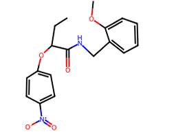 CCC(Oc1ccc([N+](=O)[O-])cc1)C(=O)NCc1ccccc1OC